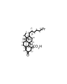 CC(C)CCC[C@@H](C)[C@H]1CC[C@H]2[C@@H]3CCC4=CC(=O)CC(C(=O)O)[C@]4(C)[C@H]3CC[C@]12C